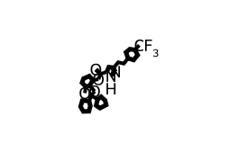 O=C(Oc1cccc2c1OC(c1ccccc1)(c1ccccc1)O2)c1cc(CCc2ccc(C(F)(F)F)cc2)n[nH]1